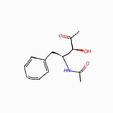 CC(=O)N[C@@H](Cc1ccccc1)[C@H](O)C(C)=O